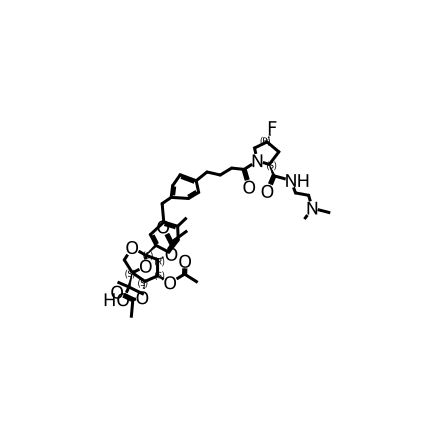 CC(=O)O[C@@H]1[C@@H](OC(C)=O)[C@@]2(c3ccc(C)c(Cc4ccc(CCCC(=O)N5C[C@H](F)C[C@H]5C(=O)NCCN(C)C)cc4)c3)OC[C@](C(C)(C)O)(O2)[C@H]1OC(C)=O